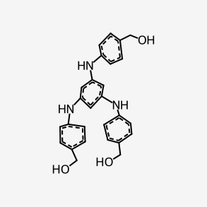 OCc1ccc(Nc2cc(Nc3ccc(CO)cc3)cc(Nc3ccc(CO)cc3)c2)cc1